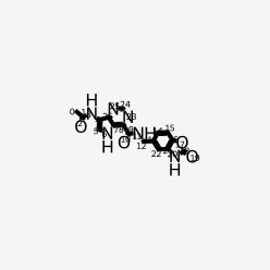 CC(=O)Nc1c[nH]c2c(C(=O)NCc3ccc4oc(=O)[nH]c4c3)ncnc12